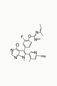 C#Cc1cc(C)c(-c2c(-c3ccc(O/C(N=C)=N/C(C)=C\C)c(F)c3)c3c(Cl)ncnc3n2C)cn1